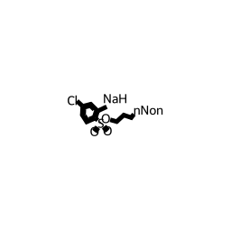 CCCCCCCCCCCCOS(=O)(=O)c1ccc(Cl)cc1C.[NaH]